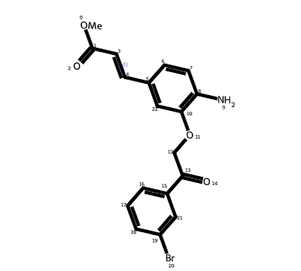 COC(=O)/C=C/c1ccc(N)c(OCC(=O)c2cccc(Br)c2)c1